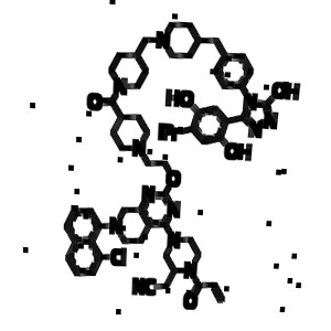 C=CC(=O)N1CCN(c2nc(OCCN3CCC(C(=O)N4CCC(CN5CCC(Cc6ccc(-n7c(O)nnc7-c7cc(O)c(C(C)C)cc7O)cc6)CC5)CC4)CC3)nc3c2CCN(c2cccc4cccc(Cl)c24)C3)CC1CC#N